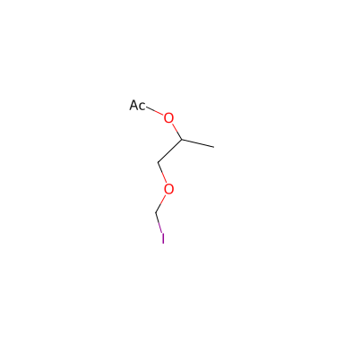 CC(=O)OC(C)COCI